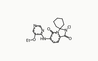 CCOc1cncnc1Nc1ccc2n(c1=O)C1(CCCCC1)N(Cl)C2=O